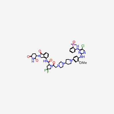 COc1cc(N2CCC(N3CCN(CC(=O)N4CC(F)(F)C[C@H]4C(=O)Nc4cccc5c4CN(C4CCC(=O)NC4=O)C5=O)CC3)CC2)ccc1Nc1ncc(Cl)c(Nc2ccccc2P(C)(C)=O)n1